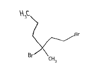 CCCC(C)(Br)CCBr